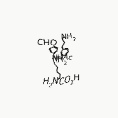 CC(=O)Nc1ccc(C=O)cc1.NCCCC[C@H](N)C(=O)O.NCCCc1ccccc1